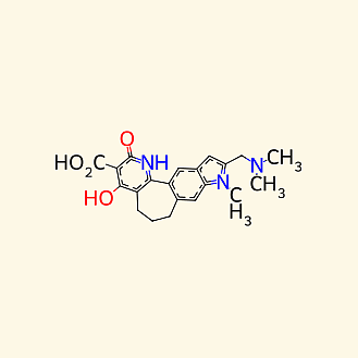 CN(C)Cc1cc2cc3c(cc2n1C)CCCc1c-3[nH]c(=O)c(C(=O)O)c1O